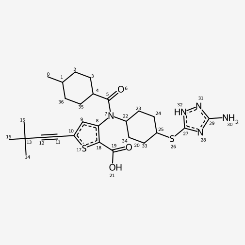 CC1CCC(C(=O)N(c2cc(C#CC(C)(C)C)sc2C(=O)O)C2CCC(Sc3nc(N)n[nH]3)CC2)CC1